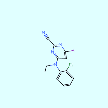 CCN(c1cc(I)nc(C#N)n1)c1ccccc1Cl